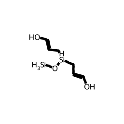 OC=CC[SiH](CC=CO)O[SiH3]